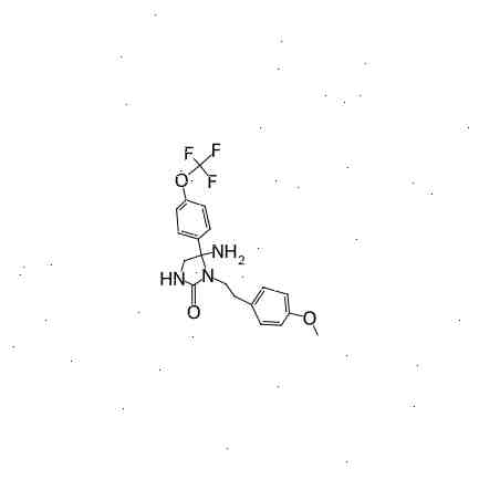 COc1ccc(CCN2C(=O)NCC2(N)c2ccc(OC(F)(F)F)cc2)cc1